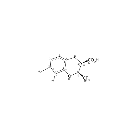 Cc1ccc2c(c1C)O[C@H](C(F)(F)F)[C@H](C(=O)O)C2